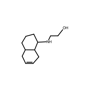 OCCNC1CCCC2CC=CCC21